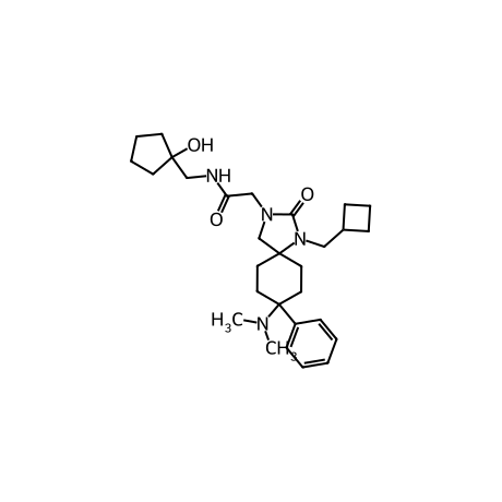 CN(C)C1(c2ccccc2)CCC2(CC1)CN(CC(=O)NCC1(O)CCCC1)C(=O)N2CC1CCC1